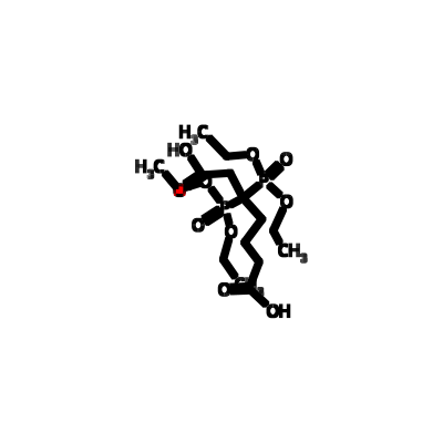 CCOP(=O)(OCC)C(CCCC(=O)O)(CC(=O)O)P(=O)(OCC)OCC